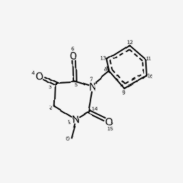 CN1CC(=O)C(=O)N(c2ccccc2)C1=O